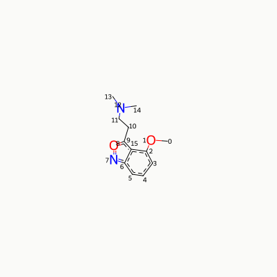 COc1cccc2noc(CCN(C)C)c12